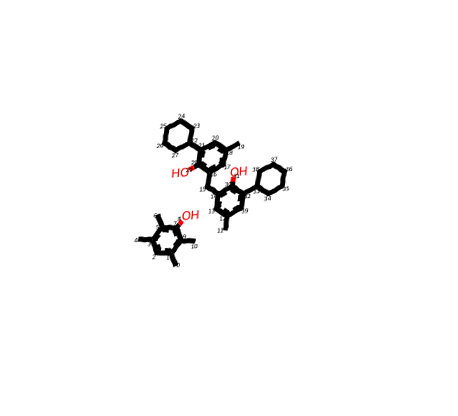 Cc1cc(C)c(C)c(O)c1C.Cc1cc(Cc2cc(C)cc(C3CCCCC3)c2O)c(O)c(C2CCCCC2)c1